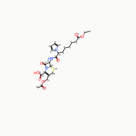 CCOC(=O)CCCCCC(C(=O)NC1C(=O)N2C(C(=O)O)=C(COC(C)=O)CSC12)n1cccc1